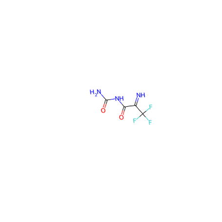 N=C(C(=O)NC(N)=O)C(F)(F)F